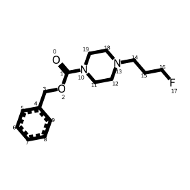 O=C(OCc1ccccc1)N1CCN(CCCF)CC1